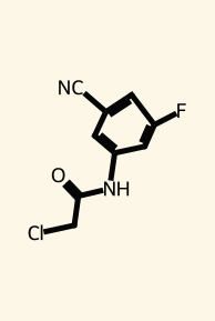 N#Cc1cc(F)cc(NC(=O)CCl)c1